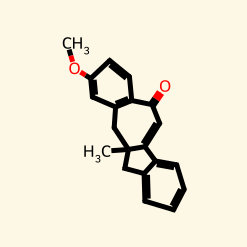 COc1ccc2c(c1)CC1(C)Cc3ccccc3C1=CC2=O